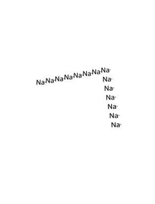 [Na].[Na].[Na].[Na].[Na].[Na].[Na].[Na].[Na].[Na].[Na].[Na].[Na].[Na]